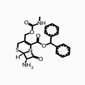 CNC(=O)OCC1=C(C(=O)OC(c2ccccc2)c2ccccc2)N2C(=O)[C@@H](N)[C@@H]2SC1